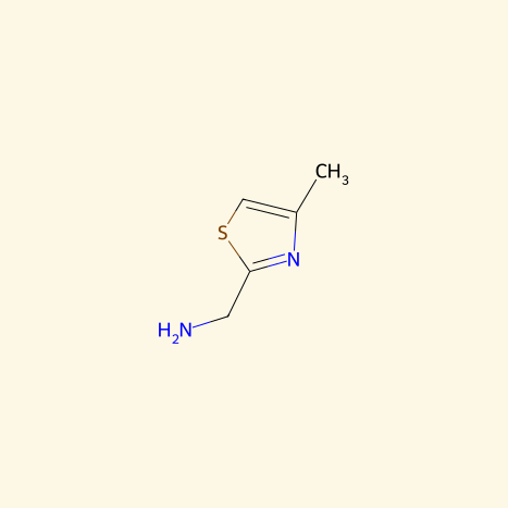 Cc1csc(CN)n1